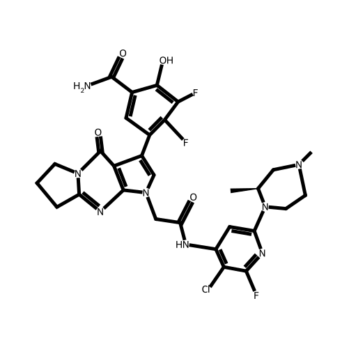 C[C@H]1CN(C)CCN1c1cc(NC(=O)Cn2cc(-c3cc(C(N)=O)c(O)c(F)c3F)c3c(=O)n4c(nc32)CCC4)c(Cl)c(F)n1